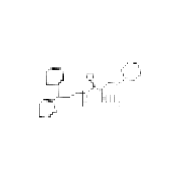 NC(CCC1CCCCC1)C(=O)NCCC(c1ccccc1)c1ccccc1